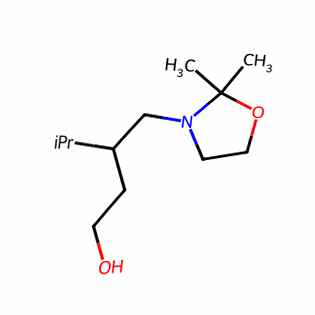 CC(C)C(CCO)CN1CCOC1(C)C